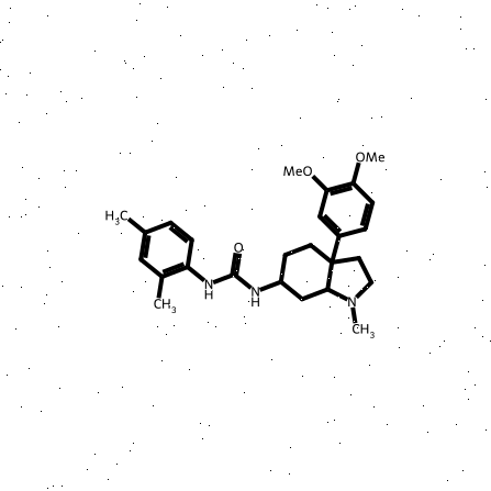 COc1ccc(C23CCC(NC(=O)Nc4ccc(C)cc4C)CC2N(C)CC3)cc1OC